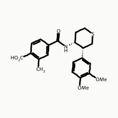 COc1ccc([C@H]2CSCC[C@H]2NC(=O)c2ccc(C(=O)O)c(C)c2)cc1OC